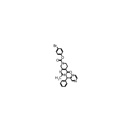 Cc1nc2c(c(=O)n1C(c1ccccc1)c1cnccn1)CCN(C(=O)Oc1ccc(Br)cc1)C2